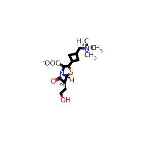 C[N+](C)(C)CC1CC(C2S[C@@H]3[C@@H](CCO)C(=O)N3C2C(=O)[O-])C1